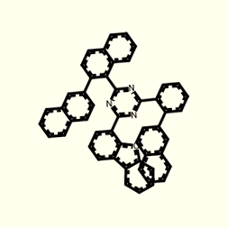 c1ccc(-c2nc(-c3c(-c4ccc5ccccc5c4)ccc4ccccc34)nc(-c3cccc4c3oc3ccccc34)n2)c(-c2ccc3ccccc3c2)c1